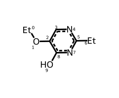 CCOc1cnc(CC)nc1O